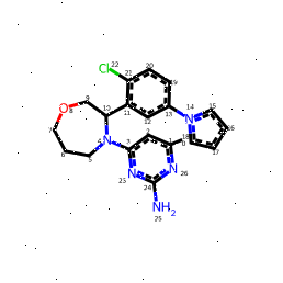 Cc1cc(N2CCCOCC2c2cc(-n3cccc3)ccc2Cl)nc(N)n1